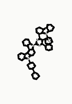 CCc1c(-c2ccccc2)nc(-n2c3ccccc3c3c4c5ccccc5n(-c5ccc(-c6ccccc6)cc5)c4ccc32)nc1-c1cccc2c3ccccc3n(-c3ccccc3)c12